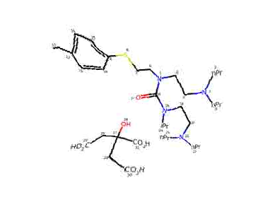 CCCN(CCC)CCN(CCSc1ccc(C)cc1)C(=O)N(CCN(CCC)CCC)C(C)C.O=C(O)CC(O)(CC(=O)O)C(=O)O